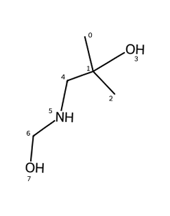 CC(C)(O)CNCO